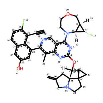 [2H]C([2H])(Oc1nc(N2CCOC[C@H]3[C@H](F)[C@H]32)c2cnc(-c3cc(O)cc4ccc(F)c(C#C)c34)c(C)c2n1)[C@]12CC(=C)CN1CCC21CC1